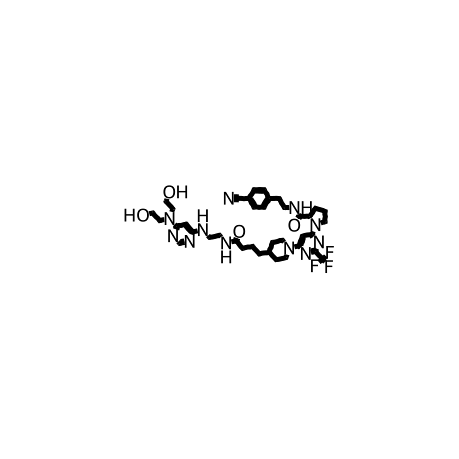 N#Cc1ccc(CCNC(=O)C2CCCN2c2cc(N3CCC(CCCC(=O)NCCNc4cc(N(CCO)CCO)ncn4)CC3)nc(C(F)(F)F)n2)cc1